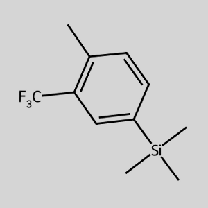 Cc1ccc([Si](C)(C)C)cc1C(F)(F)F